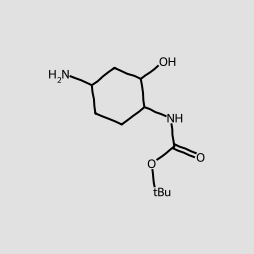 CC(C)(C)OC(=O)NC1CCC(N)CC1O